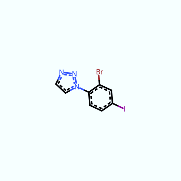 Brc1cc(I)ccc1-n1ccnn1